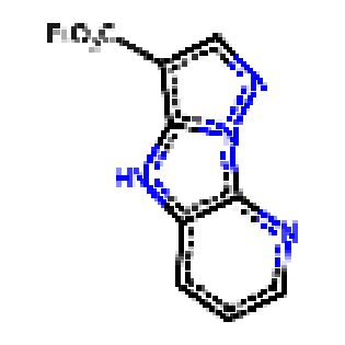 CCOC(=O)c1cnn2c1[nH]c1cccnc12